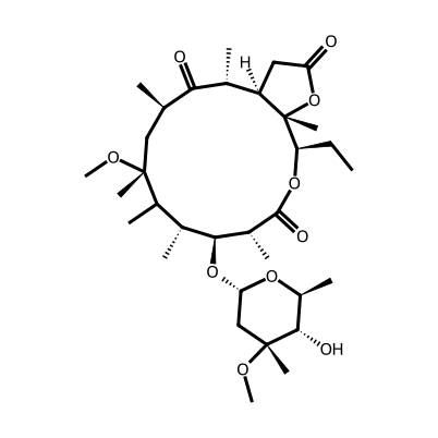 CC[C@H]1OC(=O)[C@H](C)[C@@H](O[C@H]2C[C@@](C)(OC)[C@@H](O)[C@H](C)O2)[C@H](C)C(C)[C@](C)(OC)C[C@@H](C)C(=O)[C@H](C)[C@H]2CC(=O)O[C@@]21C